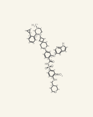 CN1CCN(C2CC3(CCN(c4ccc(C(=O)NS(=O)(=O)c5ccc(NCC6CCOCC6)c([N+](=O)[O-])c5)c(Oc5cnc6[nH]ccc6c5)c4)CC3)C2)C(c2ccccc2C2CC2)C1